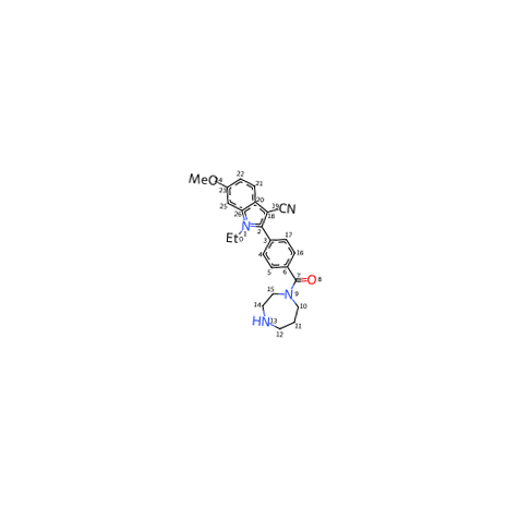 CCn1c(-c2ccc(C(=O)N3CCCNCC3)cc2)c(C#N)c2ccc(OC)cc21